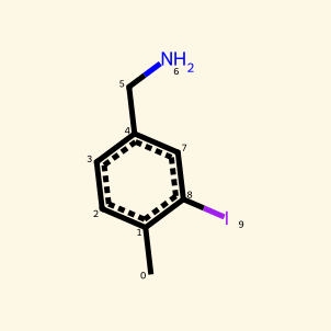 Cc1ccc(CN)cc1I